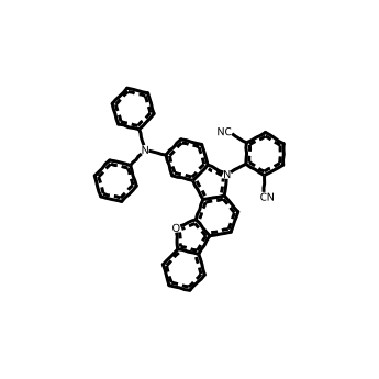 N#Cc1cccc(C#N)c1-n1c2ccc(N(c3ccccc3)c3ccccc3)cc2c2c3oc4ccccc4c3ccc21